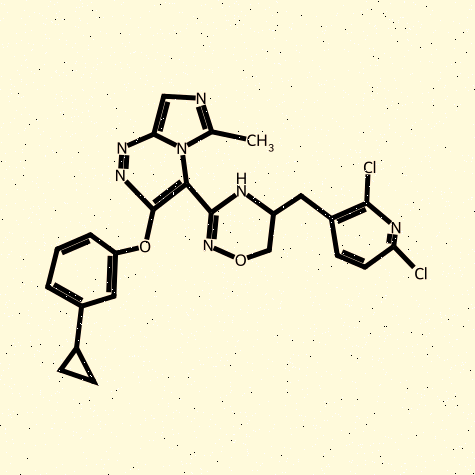 Cc1ncc2nnc(Oc3cccc(C4CC4)c3)c(C3=NOCC(Cc4ccc(Cl)nc4Cl)N3)n12